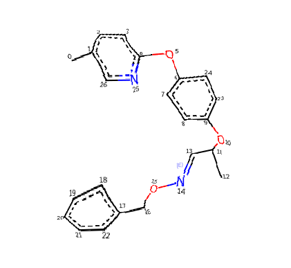 Cc1ccc(Oc2ccc(OC(C)/C=N/OCc3ccccc3)cc2)nc1